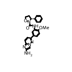 COc1ccc(-c2ccc3nc(N)cn3n2)cc1NC(=O)N1OCC[C@H]1c1ccccc1